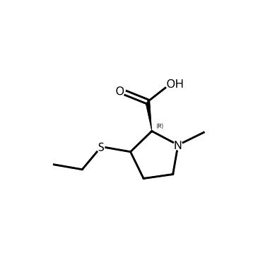 CCSC1CCN(C)[C@@H]1C(=O)O